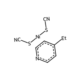 CCc1ccncc1.N#C[S][Ni][S]C#N